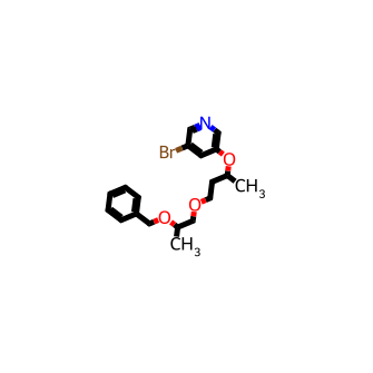 CC(COCCC(C)Oc1cncc(Br)c1)OCc1ccccc1